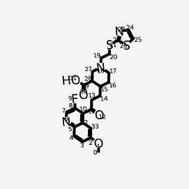 COc1ccc2ncc(F)c(C(=O)CCC3CCN(CCSc4nccs4)CC3C(=O)O)c2c1